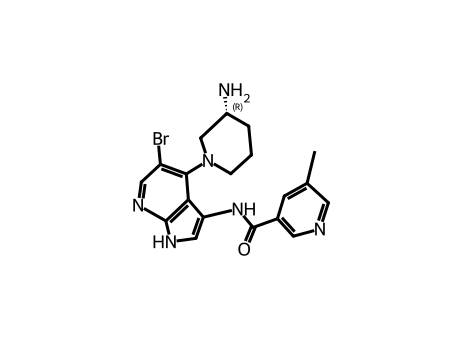 Cc1cncc(C(=O)Nc2c[nH]c3ncc(Br)c(N4CCC[C@@H](N)C4)c23)c1